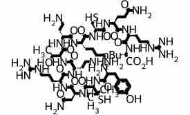 CCCC[C@H](NC(=O)[C@H](CCCNC(=N)N)NC(=O)[C@H](CCC(N)=O)NC(=O)[C@H](CS)NC(=O)[C@H](CCCCN)NC(=O)[C@@H](CCN)NC(=O)[C@@H](NC(=O)[C@H](CCN)NC(=O)[C@H](CCCNC(=N)N)NC(=O)[C@H](CC(N)=O)NC(=O)[C@@H](NC(=O)[C@@H](N)Cc1ccc(O)cc1)C(C)(C)S)[C@@H](C)O)C(=O)O